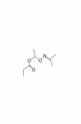 CCC(=O)OC(C)ON=C(C)C